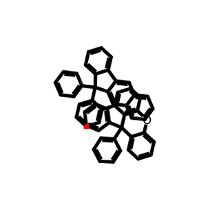 c1ccc(C2(c3ccccc3-c3cccc4c3C(c3ccccc3)(c3ccccc3)c3ccccc3O4)c3ccccc3-c3cc4ccccc4cc32)cc1